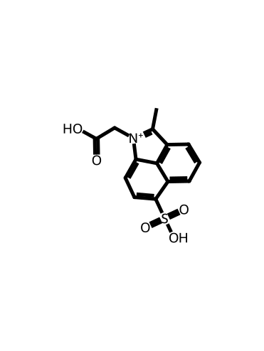 CC1=[N+](CC(=O)O)c2ccc(S(=O)(=O)O)c3cccc1c23